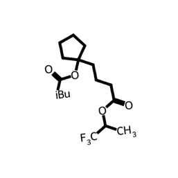 CCC(C)C(=O)OC1(CCCC(=O)OC(C)C(F)(F)F)CCCC1